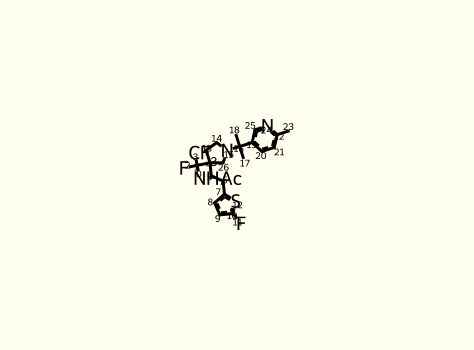 CC(=O)NC(F)(C(F)(F)F)C1(CCc2ccc(F)s2)CCN(C(C)(C)c2ccc(C)nc2)C1